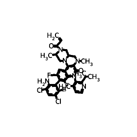 C=CC(=O)N1CC2CN(C)c3c(c4cc(F)c(-c5c(N)c(Cl)cc(Cl)c5F)c(F)c4n(-c4c(C)ccnc4C(C)C)c3=O)N2CC1C